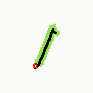 COCC(F)(F)C(F)(F)C(F)(F)C(F)(F)C(F)(F)C(F)(F)C(F)(F)C(F)(F)C(F)(F)C(F)(F)C(F)(F)C(F)(F)C(F)(C(F)(F)F)C(F)(F)F